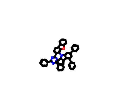 c1ccc(-c2cc(-c3ccccc3)c3c4ccccc4n(-c4c(-c5nc(-c6ccccc6)nc(-c6ccccc6)n5)ccc5c4oc4ccccc45)c3c2)cc1